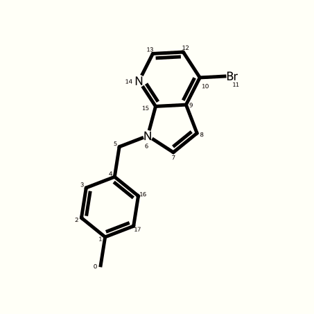 Cc1ccc(Cn2ccc3c(Br)ccnc32)cc1